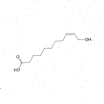 O=C(O)CCCCCCC/C=C\CO